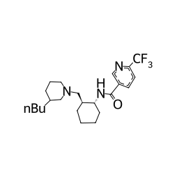 CCCCC1CCCN(C[C@@H]2CCCC[C@H]2NC(=O)c2ccc(C(F)(F)F)nc2)C1